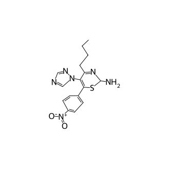 CCCCC1=NC(N)SC(c2ccc([N+](=O)[O-])cc2)=C1n1cncn1